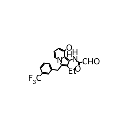 CCc1c(NC(=O)C=O)c2c(O)cccn2c1Cc1cccc(C(F)(F)F)c1